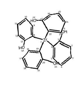 Oc1cccc[c]1[Zr]([c]1ccccc1O)([c]1ccccc1O)[c]1ccccc1O